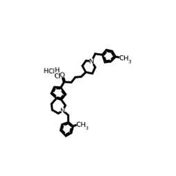 Cc1ccc(CN2CCC(CCCC(=O)c3ccc4c(c3)CN(Cc3ccccc3C)CCC4)CC2)cc1.Cl.Cl